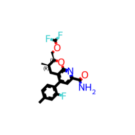 Cc1ccc(-c2cc(C(N)=O)nc3c2C[C@@H](C)[C@@H](COC(F)F)O3)c(F)c1